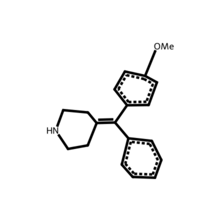 COc1ccc(C(=C2CCNCC2)c2ccccc2)cc1